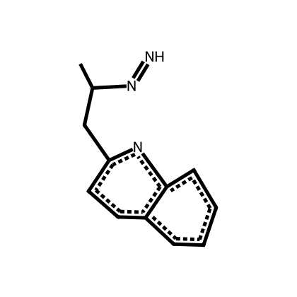 CC(Cc1ccc2ccccc2n1)N=N